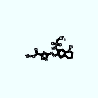 CCN1CCCc2cc(N=Nc3nnc(C(=O)OC(C)(C)C)s3)c(NS(=O)(=O)CC(F)(F)F)cc21